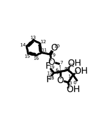 CC1(O)C(O)O[C@@](COC(=O)c2ccccc2)(C(F)F)[C@H]1O